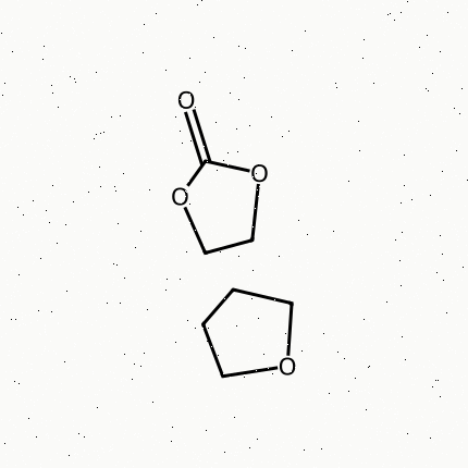 C1CCOC1.O=C1OCCO1